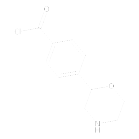 O=C(Cl)c1ccc(C2CNCCO2)cc1